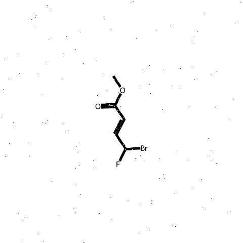 COC(=O)/C=C/C(F)Br